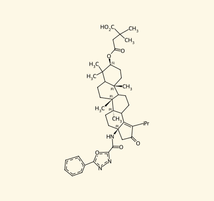 CC(C)C1=C2C3CCC4[C@@]5(C)CC[C@H](OC(=O)CC(C)(C)C(=O)O)C(C)(C)C5CC[C@@]4(C)[C@]3(C)CC[C@@]2(NC(=O)c2nnc(-c3ccccc3)o2)CC1=O